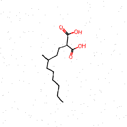 CCCCCCC(C)CCC(C(=O)O)C(=O)O